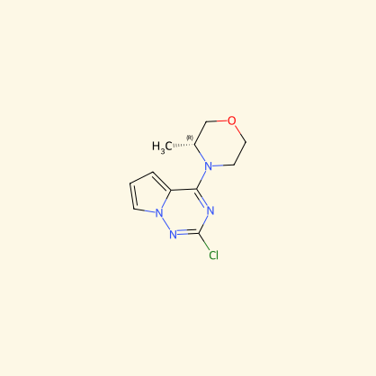 C[C@@H]1COCCN1c1nc(Cl)nn2cccc12